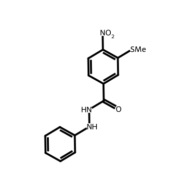 CSc1cc(C(=O)NNc2ccccc2)ccc1[N+](=O)[O-]